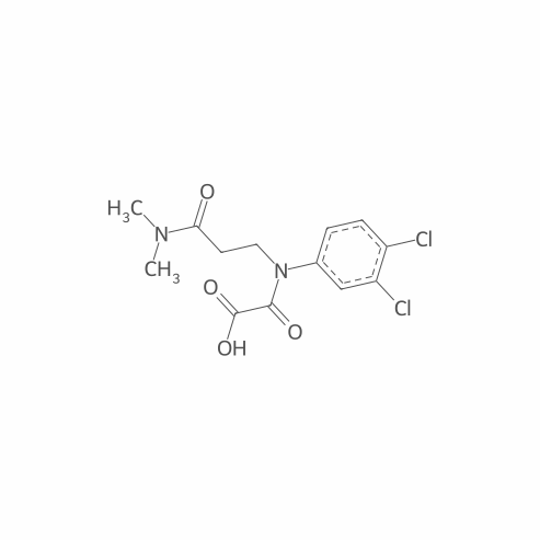 CN(C)C(=O)CCN(C(=O)C(=O)O)c1ccc(Cl)c(Cl)c1